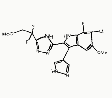 COCC(F)(F)c1nnc(-c2[nH]c3c(F)c(Cl)c(OC)cc3c2-c2cn[nH]c2)[nH]1